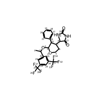 CC(OC1OCCC(C2NC(=O)NC2=O)C1c1ccccc1)c1cc(C(F)(F)F)cc(C(F)(F)F)c1